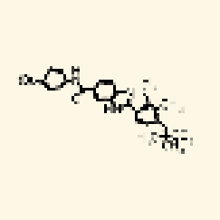 Cc1c(CC(C)(C)C(=O)O)ccc(-c2nc3ccc(C(=O)Nc4ccc(C(C)(C)C)cc4)cc3[nH]2)c1C